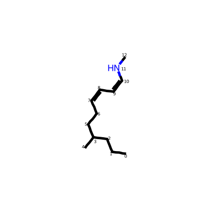 CCCC(C)CC/C=C\C=C/NC